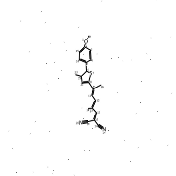 COc1ccc(C2SC(/C(C)=C/C=C(\C)C=C(C#N)C#N)=CC2C)cc1